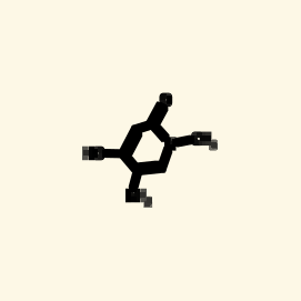 Cn1cc(N)c(O)cc1=O